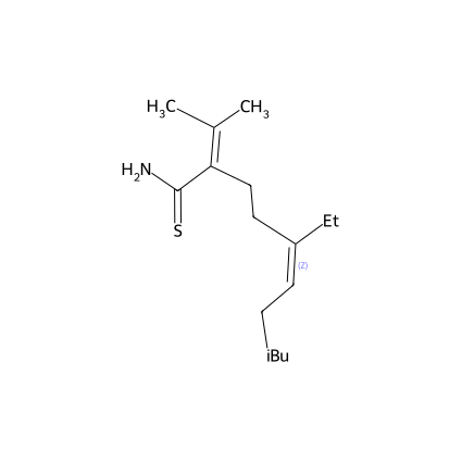 CC/C(=C/CC(C)CC)CCC(C(N)=S)=C(C)C